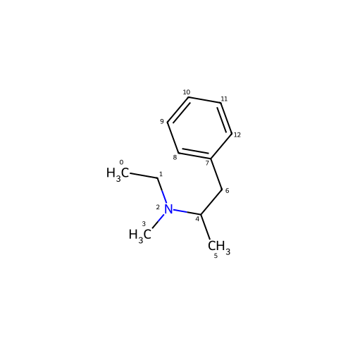 CCN(C)C(C)Cc1ccccc1